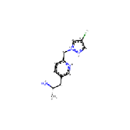 C[C@H](N)Cc1ccc(Cn2cc(F)cn2)nc1